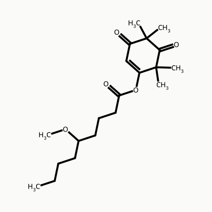 CCCCC(CCCC(=O)OC1=CC(=O)C(C)(C)C(=O)C1(C)C)OC